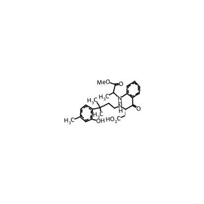 COC(=O)C(C)Nc1ccccc1C(=O)[C@H](CC(=O)O)NCCC(C)(C)c1ccc(C)cc1O